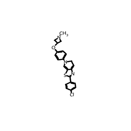 CN1CC(Oc2ccc(N3C=c4sc(-c5ccc(Cl)cc5)nc4=CC3)cc2)C1